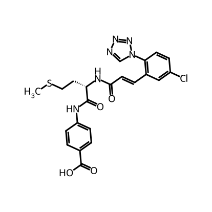 CSCC[C@H](NC(=O)C=Cc1cc(Cl)ccc1-n1cnnn1)C(=O)Nc1ccc(C(=O)O)cc1